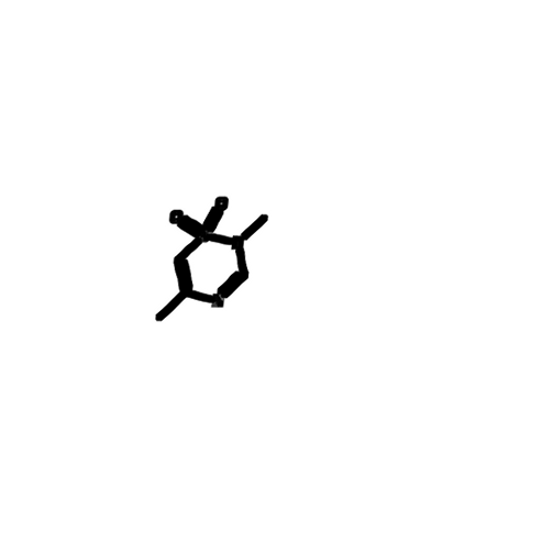 CC1=CS(=O)(=O)N(C)C=N1